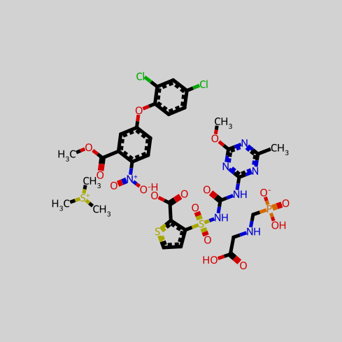 COC(=O)c1cc(Oc2ccc(Cl)cc2Cl)ccc1[N+](=O)[O-].COc1nc(C)nc(NC(=O)NS(=O)(=O)c2ccsc2C(=O)O)n1.C[S+](C)C.O=C(O)CNCP(=O)([O-])O